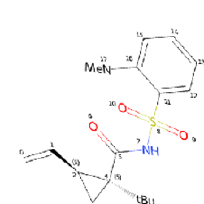 C=C[C@@H]1C[C@@]1(C(=O)NS(=O)(=O)c1ccccc1NC)C(C)(C)C